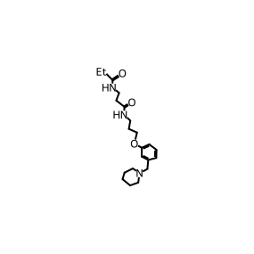 CCC(=O)NCCC(=O)NCCCOc1cccc(CN2CCCCC2)c1